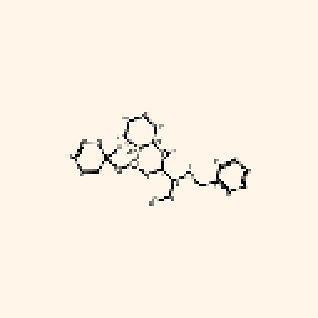 FCC(OCc1ccccc1)C(COCC1(F)C=CC=CC1)OC1CCCCO1